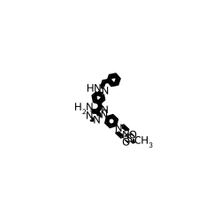 CCS(=O)(=O)N1CCN([C@H]2CC[C@@H](n3nc(-c4ccc5[nH]c(Cc6ccccc6)nc5c4)c4c(N)ncnc43)CC2)CC1